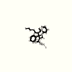 CCCCCC(CC)C1(c2ccccc2)C(C(N)=O)CN1c1cccnn1